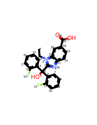 CCn1c(C(O)(c2ccccc2F)c2ccccc2F)nc2ccc(C(=O)O)cc21